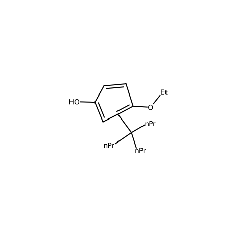 CCCC(CCC)(CCC)c1cc(O)ccc1OCC